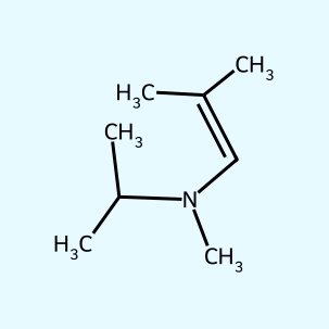 CC(C)=CN(C)C(C)C